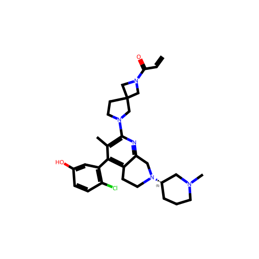 C=CC(=O)N1CC2(CCN(c3nc4c(c(-c5cc(O)ccc5Cl)c3C)CCN([C@H]3CCCN(C)C3)C4)C2)C1